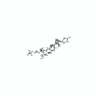 CCOC(=O)c1c(-c2cnc3ccc(NC(=O)NC4CCCC4)nc3c2)cnn1COCC[Si](C)(C)C